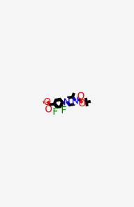 COC(=O)c1ccc(N2CCN(C(=O)OC(C)(C)C)C(C)C2)c(F)c1F